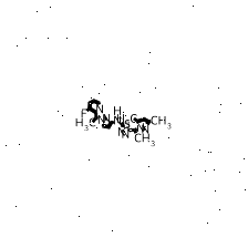 Cc1cc(C)n(C(C)c2nnc(Nc3ccn(C(C)c4ncccc4F)n3)s2)n1